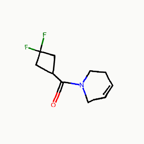 O=C(C1CC(F)(F)C1)N1CC=CCC1